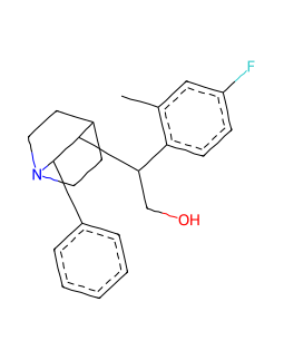 Cc1cc(F)ccc1C(CO)C1C2CCN(CC2)C1c1ccccc1